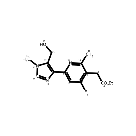 CCOC(=O)Cc1c(F)cc(-c2nnn(C)c2CO)nc1C